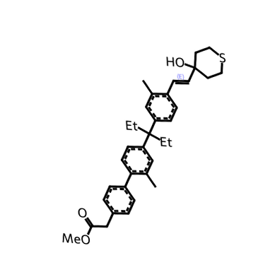 CCC(CC)(c1ccc(/C=C/C2(O)CCSCC2)c(C)c1)c1ccc(-c2ccc(CC(=O)OC)cc2)c(C)c1